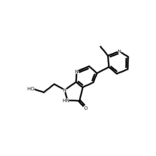 Cc1ncccc1-c1cnc2c(c1)c(=O)[nH]n2CCO